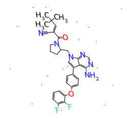 CC(C)(C)C=C(C#N)C(=O)N1CCCC1Cn1cc(-c2ccc(Oc3cccc(F)c3F)cc2)c2c(N)ncnc21